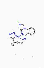 COC1(c2cnnn2N2C=NC3c4ccccc4N4CN(F)C=C4N32)CC1